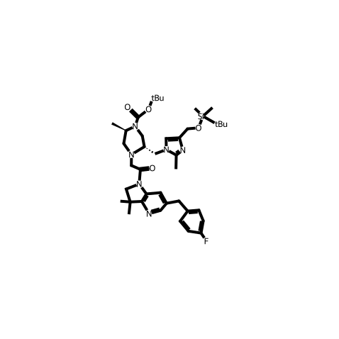 Cc1nc(CO[Si](C)(C)C(C)(C)C)cn1C[C@H]1CN(C(=O)OC(C)(C)C)[C@H](C)CN1CC(=O)N1CC(C)(C)c2ncc(Cc3ccc(F)cc3)cc21